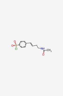 CC(=O)NCCC=Cc1ccc(S(=O)(=O)Cl)cc1